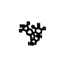 O=C1CCC(C2(C3NCC4=CNCC43)CC3=C(C=C2F)C(=O)NC3=O)C(=O)N1